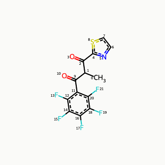 CC(C(=O)c1nccs1)C(=O)c1c(F)c(F)c(F)c(F)c1F